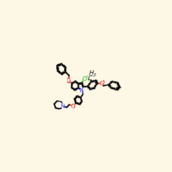 Cc1cc(OCc2ccccc2)ccc1-c1c(Cl)c2cc(OCc3ccccc3)ccc2n1Cc1ccc(OCCN2CCCCC2)cc1